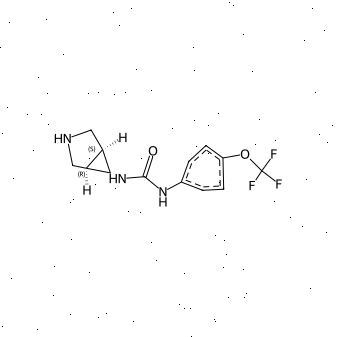 O=C(Nc1ccc(OC(F)(F)F)cc1)NC1[C@H]2CNC[C@@H]12